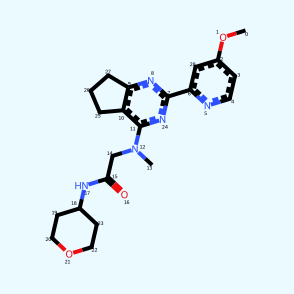 COc1ccnc(-c2nc3c(c(N(C)CC(=O)NC4CCOCC4)n2)CCC3)c1